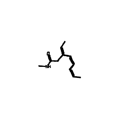 C\C=C/C=C\C(=C/C)CC(=O)NC